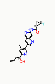 C=CC[C@H](O)c1cc(C)c(-c2cnc3cc(NC(=O)[C@H]4C[C@H]4F)ncc3c2)cn1